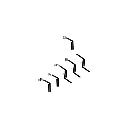 C/C=C/C.C/C=C/CC.C/C=C/CCC.C=CCC.C=CCCC.C=CCCC